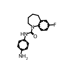 Nc1ccc(NC(=O)N2CCCCc3cc(F)ccc32)cc1